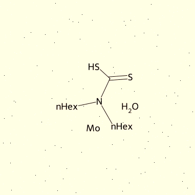 CCCCCCN(CCCCCC)C(=S)S.O.[Mo]